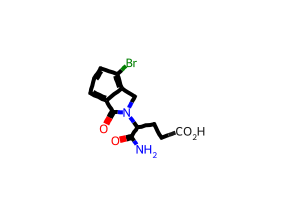 NC(=O)C(CCC(=O)O)N1Cc2c(Br)cccc2C1=O